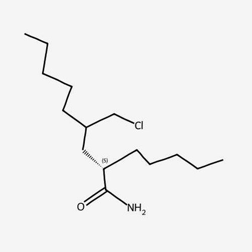 CCCCCC(CCl)C[C@H](CCCCC)C(N)=O